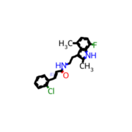 Cc1[nH]c2c(F)ccc(C)c2c1CCNC(=O)/C=C/c1ccccc1Cl